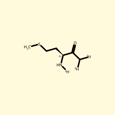 [2H]N[C@@H](CCSC)C(=O)[C]([2H])[2H]